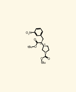 CC(C)(C)OC(=O)[C@@H](Cc1cccc([N+](=O)[O-])c1)[C@H]1CCN(C(=O)OC(C)(C)C)C1